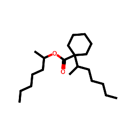 CCCCCC(C)OC(=O)C1(C(C)CCCCC)CCCCC1